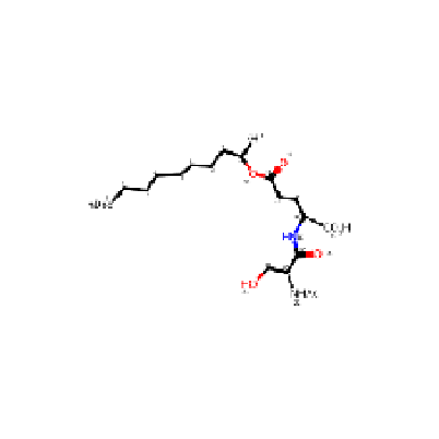 [2H]C(CCCCCCCCCCCCCCCCC)OC(=O)CC[C@H](NC(=O)[C@H](CO)NC(C)=O)C(=O)O